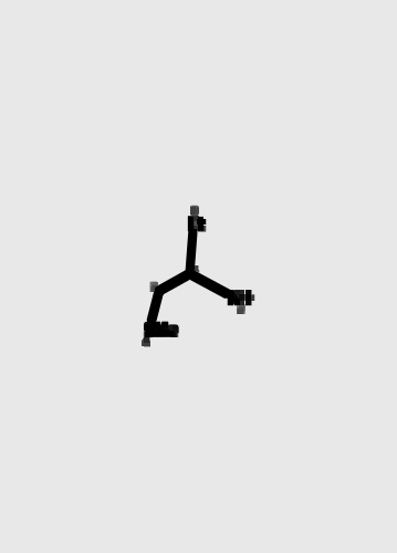 CCC([NH])CSC